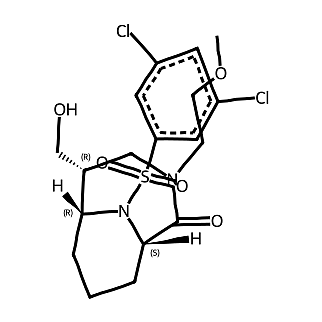 COCCN1C[C@@H](CO)[C@H]2CCC[C@@H](C1=O)N2S(=O)(=O)c1cc(Cl)cc(Cl)c1